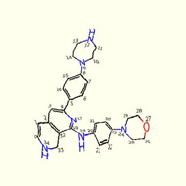 C1=Cc2cc(-c3ccc(N4CCNCC4)cc3)nc(Nc3ccc(N4CCOCC4)cc3)c2CN1